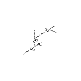 CCCCCCCOC(=O)CCN(CCOC(=O)OC(CCCCCC)CCCCCCCCCC(=O)OCC(CCCC)CCCCCC)CCN(CC)CC